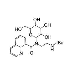 CC(C)(C)NCCN(C(=O)c1cccc2cccnc12)C1OC(CO)C(O)C(O)C1O